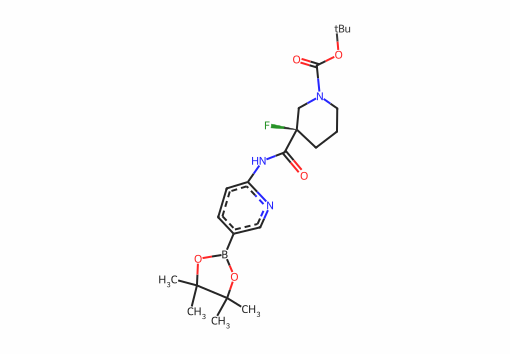 CC(C)(C)OC(=O)N1CCC[C@](F)(C(=O)Nc2ccc(B3OC(C)(C)C(C)(C)O3)cn2)C1